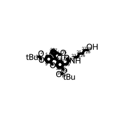 CC(C)(C)C(=O)Oc1ccc2c(c1)Oc1cc(OC(=O)C(C)(C)C)c(CC(=O)NCCCCCCO)cc1C21OC(=O)c2ccccc21